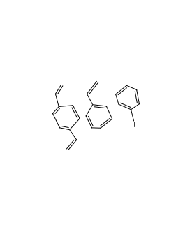 C=Cc1ccc(C=C)cc1.C=Cc1ccccc1.Ic1ccccc1